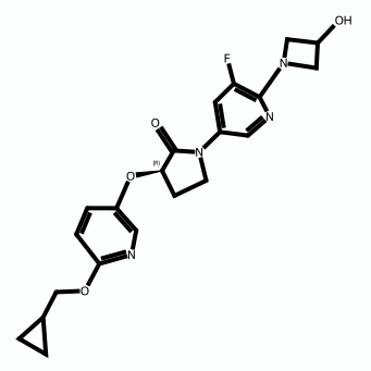 O=C1[C@H](Oc2ccc(OCC3CC3)nc2)CCN1c1cnc(N2CC(O)C2)c(F)c1